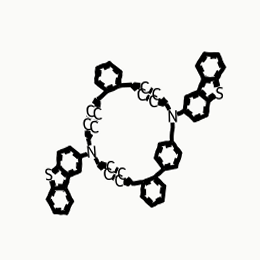 c1ccc2c(c1)-c1ccc(cc1)N(c1ccc3sc4ccccc4c3c1)c1ccc(cc1)-c1ccccc1-c1ccc(cc1)N(c1ccc3sc4ccccc4c3c1)c1ccc-2cc1